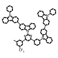 Cc1cc(-c2cc(-c3cccc(-n4c5ccccc5c5cc(-c6ccc7c(c6)c6ccccc6n7-c6ccccc6)ccc54)c3)nc(-n3c4ccccc4c4cc(-c5ccc6c(c5)c5ccccc5n6-c5ccccc5)ccc43)n2)cc(C(F)(F)F)c1